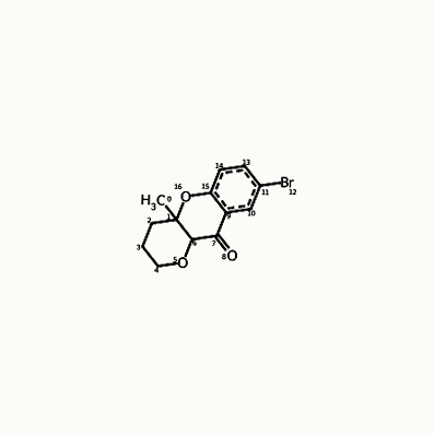 CC12CCCOC1C(=O)c1cc(Br)ccc1O2